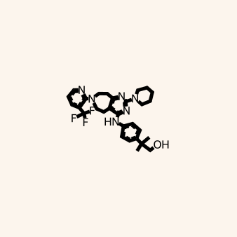 CC(C)(CO)c1ccc(Nc2nc(N3CCCCC3)nc3c2CCN(c2ncccc2C(F)(F)F)CC3)cc1